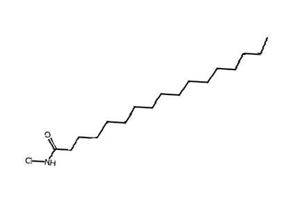 CCCCCCCCCCCCCCCCC(=O)NCl